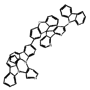 c1ccc2c(c1)Oc1ccc(-c3ccc4c(c3)c3ccccc3n4-c3ccncc3-n3c4ccccc4c4ccccc43)cc1C21c2cccnc2-c2ncc(-n3c4ccccc4c4ccccc43)cc21